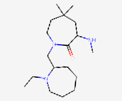 CCN1CCCCCC1CN1CCC(C)(C)CC(NC)C1=O